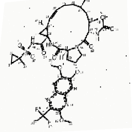 COc1cc2nc(C(F)(F)F)c(OC)nc2cc1O[C@@H]1C[C@H]2C(=O)N[C@]3(C(=O)NS(=O)(=O)C4(C)CC4)C[C@H]3/C=C\CC[C@@H](C)C[C@@H](C)[C@H](NC(=O)O)C(=O)N2C1